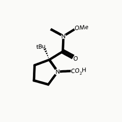 CON(C)C(=O)[C@]1(C(C)(C)C)CCCN1C(=O)O